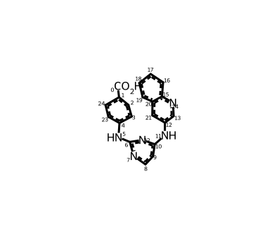 O=C(O)c1ccc(Nc2nccc(Nc3cnc4ccccc4c3)n2)cc1